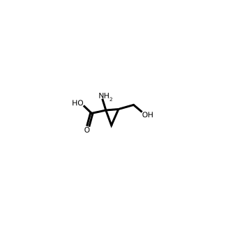 NC1(C(=O)O)CC1CO